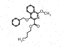 CCCCOC(=O)c1nc(OC)c2ccccc2c1OCc1ccccc1